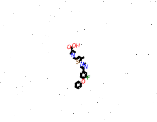 Cc1cc(CN2CC(C(=O)O)C2)sc1-n1cnc(-c2ccc(Oc3ccccc3)c(F)c2)c1